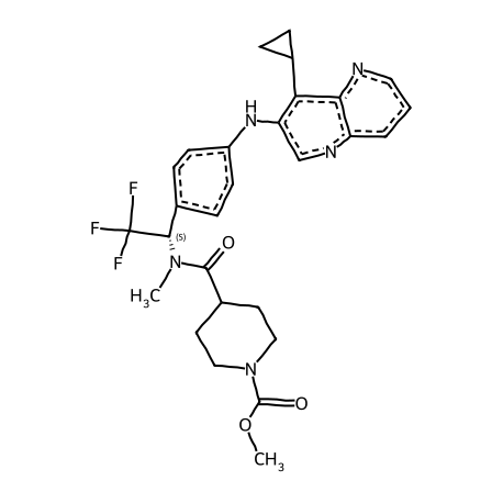 COC(=O)N1CCC(C(=O)N(C)[C@@H](c2ccc(Nc3cnc4cccnc4c3C3CC3)cc2)C(F)(F)F)CC1